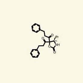 CC(C)[C@H]1NC(=O)OC1(C(=O)CCc1ccccc1)C(=O)CCc1ccccc1